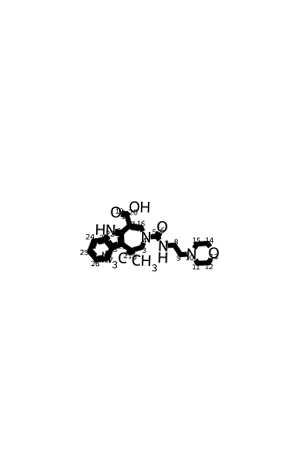 CC1(C)CN(C(=O)NCCN2CCOCC2)C=C(C(=O)O)c2[nH]c3ccccc3c21